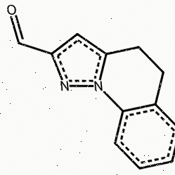 O=Cc1cc2n(n1)-c1ccccc1CC2